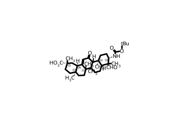 CC(C)(C)OC(=O)N[C@H]1CC[C@]2(C)[C@H]3C(=O)C=C4[C@@H]5C[C@@](C)(C(=O)O)CC[C@]5(C)CC[C@@]4(C)[C@]3(C)CC[C@H]2[C@]1(C)C=O